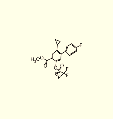 COC(=O)c1cc(C2CC2)c(-c2ccc(F)cc2)cc1OS(=O)(=O)C(F)(F)F